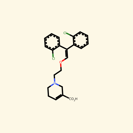 O=C(O)C1=CCCN(CCOC=C(c2ccccc2Cl)c2ccccc2Cl)C1